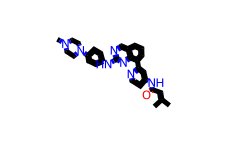 CC(C)=CC(=O)Nc1ccnc(-c2cccc3cnc(Nc4ccc(N5CCN(C)CC5)cc4)nc23)c1